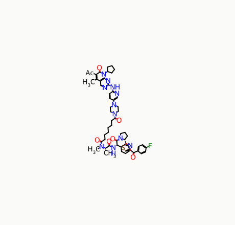 CC(=O)c1c(C)c2cnc(Nc3ccc(N4CCN(C(=O)CCCCCCC(=O)N(C)[C@@H](C)C(=O)N[C@H](C(=O)N5CCC[C@H]5c5nc(C(=O)c6ccc(F)cc6)cs5)C5CCCCC5)CC4)cn3)nc2n(C2CCCC2)c1=O